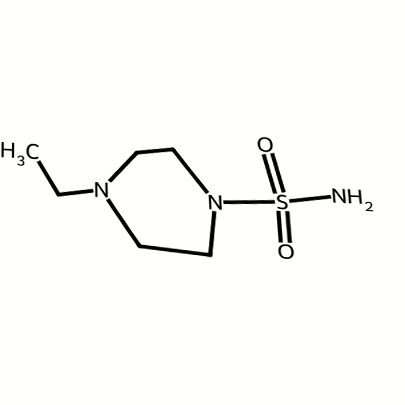 CCN1CCN(S(N)(=O)=O)CC1